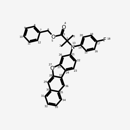 CC(C)(C(=O)OCc1ccccc1)N(c1ccc(F)cc1)c1ccc2c(c1)oc1cc3ccccc3cc12